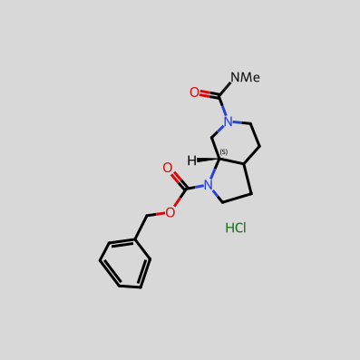 CNC(=O)N1CCC2CCN(C(=O)OCc3ccccc3)[C@@H]2C1.Cl